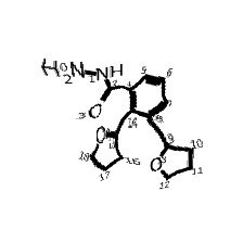 NNC(=O)c1cccc(C2CCCO2)c1C1CCCO1